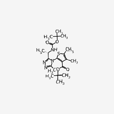 Cc1sc(-n2c(C)nnc2[C@H](C)NC(=O)OC(C)(C)C)c(C(=O)OC(C)(C)C)c1C